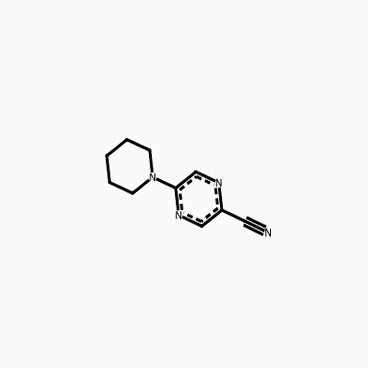 N#Cc1cnc(N2CCCCC2)cn1